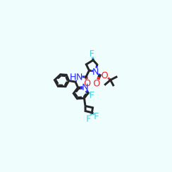 CC(C)(C)OC(=O)N1CC(F)CC1C(=O)N[C@@H](c1ccccc1)c1ccc(C2CC(F)(F)C2)c(F)n1